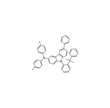 Cc1ccc(N(c2ccc(C)cc2)c2ccc3c(c2)c2cc(-c4ccccc4)ccc2n3-c2ccccc2C(C)(C)c2ccccc2)cc1